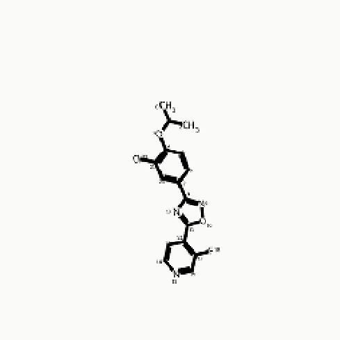 CC(C)Oc1ccc(-c2noc(-c3ccncc3F)n2)cc1Cl